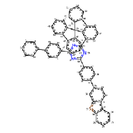 c1ccc(-c2ccc(-c3nc(-c4ccc(-c5ccc6c(c5)sc5ccccc56)cc4)nc(-c4cccc5c4C4(c6ccccc6-c6ccccc64)c4ccccc4-5)n3)cc2)cc1